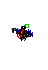 CC1CCc2ncnc(-c3ccc(OC(CN(C(=O)OC(C)(C)C)C(C)C)c4ccc(Cl)cc4)cc3)c21